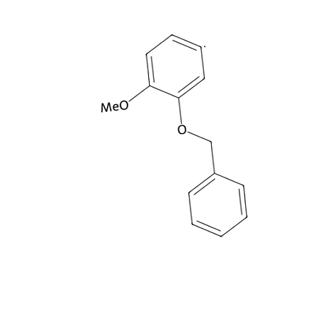 COc1cc[c]cc1OCc1ccccc1